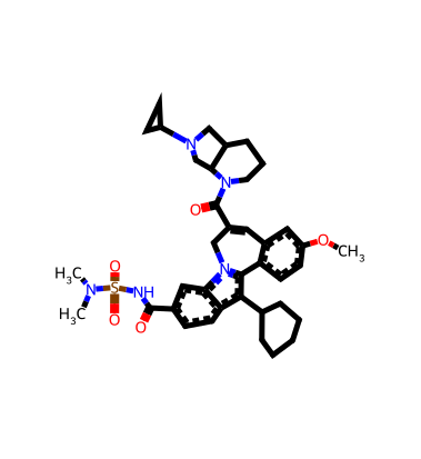 COc1ccc2c(c1)C=C(C(=O)N1CCCC3CN(C4CC4)CC31)Cn1c-2c(C2CCCCC2)c2ccc(C(=O)NS(=O)(=O)N(C)C)cc21